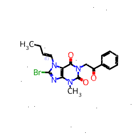 CC/C=C/n1c(Br)nc2c1c(=O)n(CC(=O)c1ccccc1)c(=O)n2C